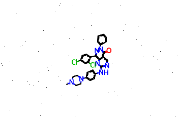 CN1CCN(c2ccc(Nc3ncc4c(=O)n(-c5ccccc5)nc(-c5ccc(Cl)cc5Cl)c4n3)cc2)CC1